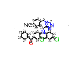 N#Cc1ccc(Cn2cnnc2CN(c2ccc(C(=O)c3ccccc3)cc2)c2ccc(Cl)cc2Cl)cc1